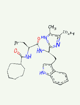 Cc1[nH]c([C@@H](Cc2c[nH]c3ccccc23)NC(=O)[C@H](CC(C)C)NC(=O)C2CCCCCC2)nc1C(=O)O